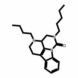 CCCCCN1CC2c3c(c4ccccc4n3C1=O)CCN2CCCC